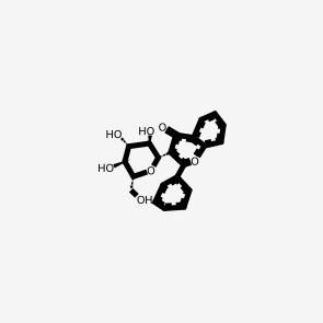 O=c1c([C@@H]2O[C@H](CO)[C@@H](O)[C@H](O)[C@H]2O)c(-c2ccccc2)oc2ccccc12